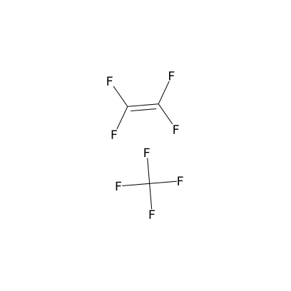 FC(F)(F)F.FC(F)=C(F)F